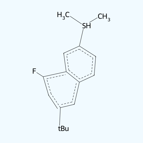 C[SH](C)c1ccc2cc(C(C)(C)C)cc(F)c2c1